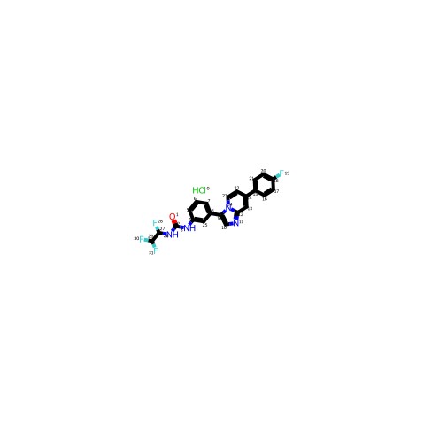 Cl.O=C(Nc1cccc(-c2cnc3cc(-c4ccc(F)cc4)ccn23)c1)NC(F)C(F)F